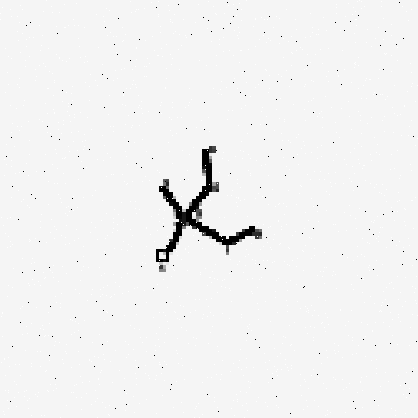 CC[Si](C)(Cl)CC